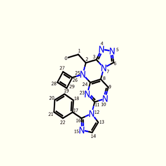 CCC1c2nncn2-c2cnc(-n3ccnc3-c3ccccc3)nc2N1C1=CC=C1